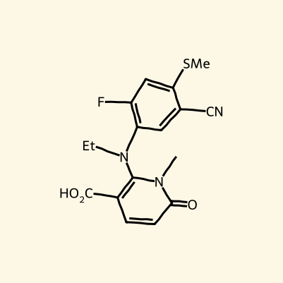 CCN(c1cc(C#N)c(SC)cc1F)c1c(C(=O)O)ccc(=O)n1C